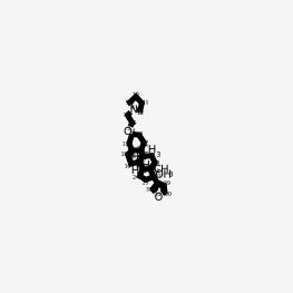 C[C@]12CCC(OCCN3CCCC3)CC1=CC[C@@H]1[C@H]2CC[C@@]2(C)[C@H]1CCC2(O)c1ccoc1